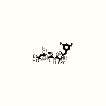 CCCC(NC(=O)Cc1cc(F)cc(F)c1)C(=O)Nc1cn(C(C)(C)CC(O)(CC)CC)cn1